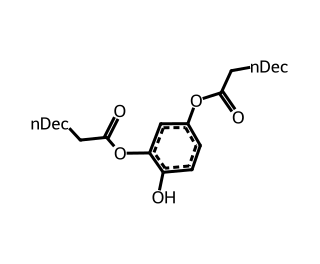 CCCCCCCCCCCC(=O)Oc1ccc(O)c(OC(=O)CCCCCCCCCCC)c1